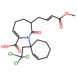 COC(=O)C=CCC1CCC=C(C(=O)O)N(C2(CC(Cl)(Cl)Cl)C=CCCCC2)C1=O